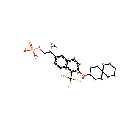 C[C@@H](COP(=O)(O)O)c1ccc2c(C(F)(F)F)c(OC3CCC4(CCCCC4)CC3)ccc2c1